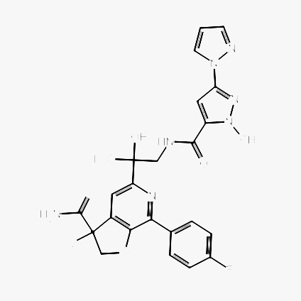 Cn1nc(-n2cccn2)cc1C(=O)NCC(C)(O)c1cc2c(c(-c3ccc(F)cc3)n1)OCC2(C)C(N)=O